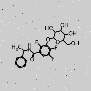 C[C@@H](NC(=O)c1cc(F)c(F)c(OC2OC(CO)C(O)C(O)C2O)c1F)c1ccccc1